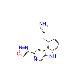 NC=CCc1cccc2[nH]c3cnc(-c4conn4)cc3c12